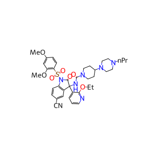 CCCN1CCN(C2CCN(C(=O)NC3(c4cccnc4OCC)C(=O)N(S(=O)(=O)c4ccc(OC)cc4OC)c4ccc(C#N)cc43)CC2)CC1